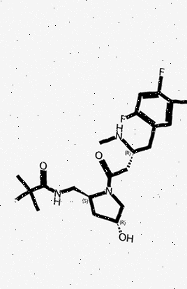 CN[C@@H](CC(=O)N1C[C@H](O)C[C@H]1CNC(=O)C(C)(C)F)Cc1cc(F)c(F)cc1F